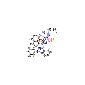 CSc1nc(O)c2c(n1)C[C@]1(CCCc3ccc(N(Cc4ccccc4)Cc4ccccc4)c(C#N)c31)OC2